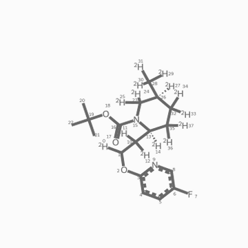 [2H]C(Oc1ccc(F)cn1)C([2H])([2H])[C@@]1([2H])N(C(=O)OC(C)(C)C)C([2H])([2H])[C@@]([2H])(C([2H])([2H])[2H])C([2H])([2H])C1([2H])[2H]